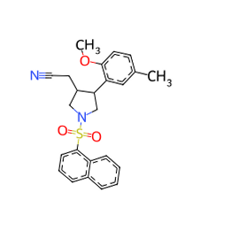 COc1ccc(C)cc1C1CN(S(=O)(=O)c2cccc3ccccc23)CC1CC#N